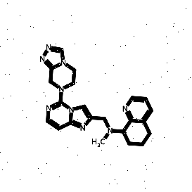 CN(Cc1cn2c(N3CCn4cnnc4C3)nccc2n1)C1CCCc2cccnc21